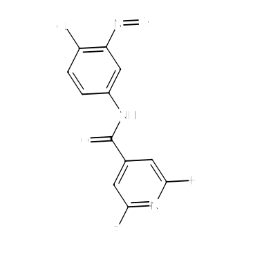 O=Nc1cc(NC(=O)c2cc(F)nc(F)c2)ccc1Cl